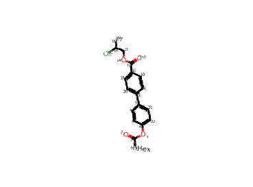 CCCCCCC(=O)Oc1ccc(-c2ccc(C(=O)OCC(Cl)C(C)C)cc2)cc1